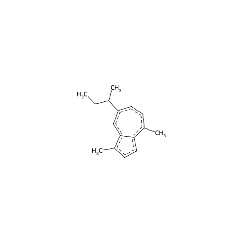 CCC(C)c1ccc(C)c2ccc(C)c-2c1